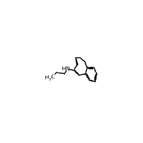 CCCNC1=C/c2ccccc2CC\C=C\1